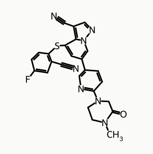 CN1CCN(c2ccc(-c3cc(Sc4ccc(F)cc4C#N)c4c(C#N)cnn4c3)cn2)CC1=O